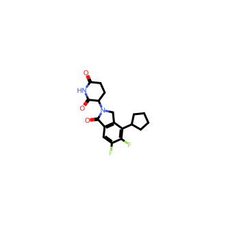 O=C1CCC(N2Cc3c(cc(F)c(F)c3C3CCCC3)C2=O)C(=O)N1